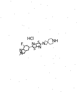 Cl.Cn1cc2cc(-c3nc4sc(N5CC6(CCNCC6)C5)nc4s3)cc(F)c2n1